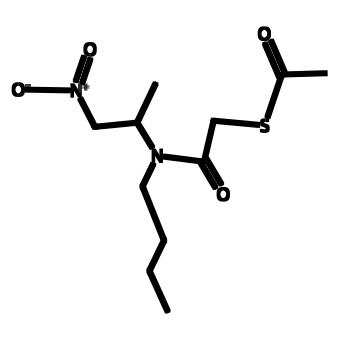 CCCCN(C(=O)CSC(C)=O)C(C)C[N+](=O)[O-]